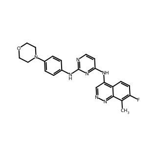 Cc1c(F)ccc2c(Nc3ccnc(Nc4ccc(N5CCOCC5)cc4)n3)cnnc12